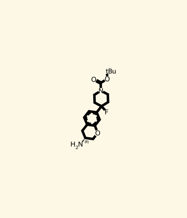 CC(C)(C)OC(=O)N1CCC(F)(c2ccc3c(c2)OC[C@H](N)C3)CC1